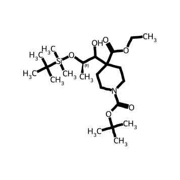 CCOC(=O)C1(C(O)[C@@H](C)O[Si](C)(C)C(C)(C)C)CCN(C(=O)OC(C)(C)C)CC1